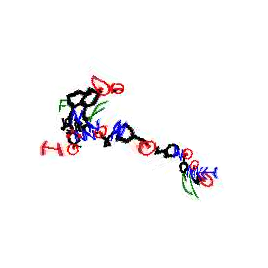 COCOc1cc(-c2ncc3c(N4CCC[C@@](C)(O)C4)nc(OCC4(CN5CCC(COCCC6CCN(C(=O)c7ccc(Cl)c(N8CCC(=O)NC8=O)c7)CC6)CC5)CC4)nc3c2F)c2c(C#C[Si](C(C)C)(C(C)C)C(C)C)c(F)ccc2c1